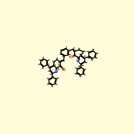 O=C1/C(=C\c2cccc(/C=C3\CCc4c(-c5ccccc5)cc(-c5ccccc5)nc4C3=O)c2)CCc2c(-c3ccccc3)cc(-c3ccccc3)nc21